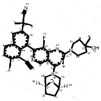 C#Cc1c(F)ccc2cc(C(C)(C)C#N)cc(-c3ncc4c(N5C[C@H]6CC[C@@H](C5)O6)nc(N5CCC(C)(O)CC5)nc4c3F)c12